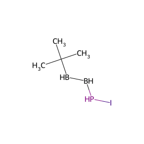 CC(C)(C)BBPI